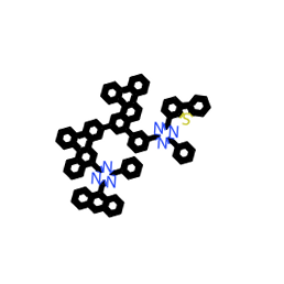 c1ccc(-c2nc(-c3c4ccccc4cc4ccccc34)nc(-c3cc4c5cc(-c6cc(-c7cccc(-c8nc(-c9ccccc9)nc(-c9cccc%10c9sc9ccccc9%10)n8)c7)c7ccc8c9ccccc9c9ccccc9c8c7c6)ccc5c5ccccc5c4c4ccccc34)n2)cc1